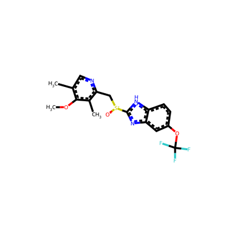 COc1c(C)cnc(C[S+]([O-])c2nc3cc(OC(F)(F)F)ccc3[nH]2)c1C